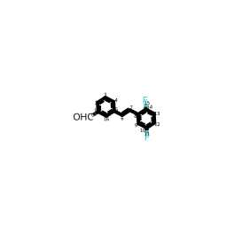 O=Cc1cccc(/C=C/c2cc(F)ccc2F)c1